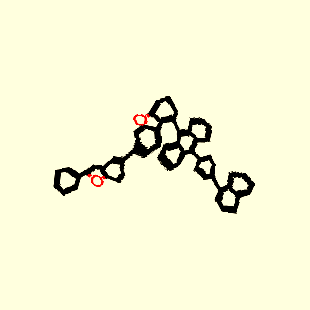 c1ccc(-c2cc3cc(-c4ccc5c(c4)oc4cccc(-c6c7ccccc7c(-c7ccc(-c8cccc9ccccc89)cc7)c7ccccc67)c45)ccc3o2)cc1